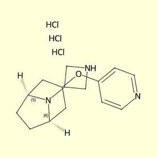 Cl.Cl.Cl.c1cc(OC2C[C@H]3CC[C@@H](C2)N3C2CNC2)ccn1